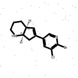 Clc1cc(C2=C[C@@H]3CCCN[C@@H]3C2)cnc1Br